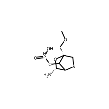 B[C@@H]1O[C@@]2(COC)CSC1C2O[PH](=O)O